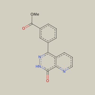 COC(=O)c1cccc(-c2n[nH]c(=O)c3ncccc23)c1